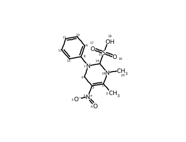 CC1=C([N+](=O)[O-])CN(c2ccccc2)C(S(=O)(=O)O)N1C